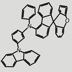 c1ccc(N(c2cccc(-n3c4ccccc4c4ccccc43)c2)c2cccc3c2-c2ccccc2C32c3ccccc3Oc3ccccc32)cc1